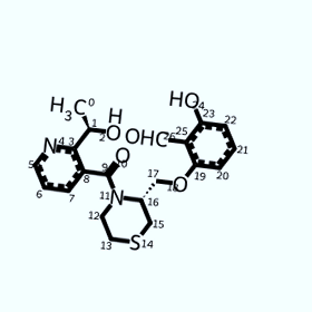 C[C@@H](O)c1ncccc1C(=O)N1CCSC[C@H]1COc1cccc(O)c1C=O